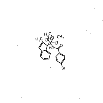 CC1=Cc2ccccc2[CH]1[Zr]([Cl])([Cl])([NH]C(=O)c1ccc(Br)cc1)[SiH](C)C